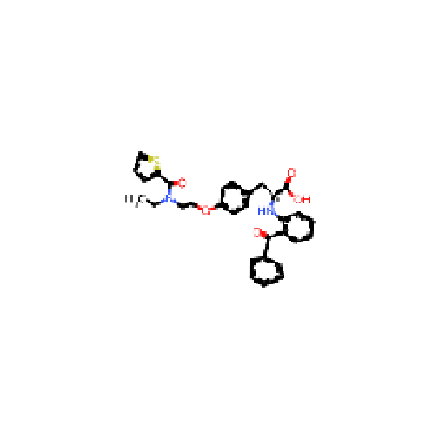 CCN(CCOc1ccc(C[C@H](Nc2ccccc2C(=O)c2ccccc2)C(=O)O)cc1)C(=O)c1cccs1